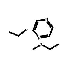 CCSC.[CH2]CC.c1cnccn1